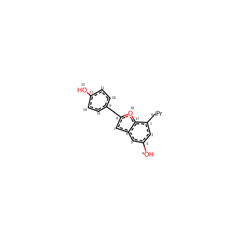 CC(C)c1cc(O)cc2cc(-c3ccc(O)cc3)oc12